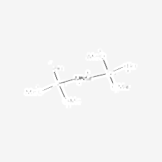 CCC(C)[Si](OC)(OC)OC.CO[Si](OC)(OC)C(C)(C)C